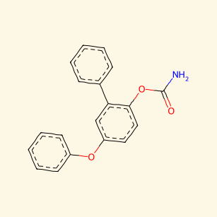 NC(=O)Oc1ccc(Oc2ccccc2)cc1-c1ccccc1